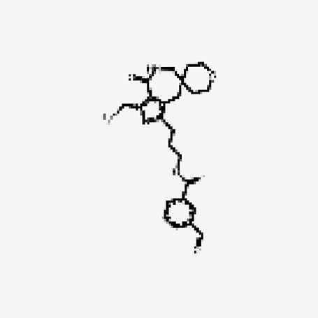 CCn1nc(CCCOC(=O)c2cccc(C=O)c2)c2c1C(=O)NCC1(CCOCC1)C2